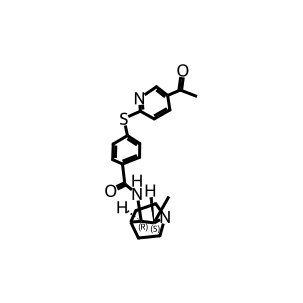 CC(=O)c1ccc(Sc2ccc(C(=O)N[C@@H]3C4CCN(CC4)[C@H]3C)cc2)nc1